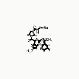 Cc1cc2nc(N[C@@H](C)c3cncc(F)c3)nc(C(=O)N3CCN(C(=O)NOC(C)(C)C)C3)c2s1